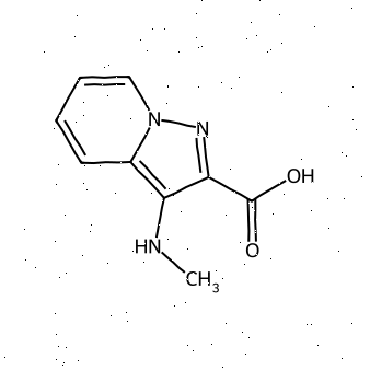 CNc1c(C(=O)O)nn2ccccc12